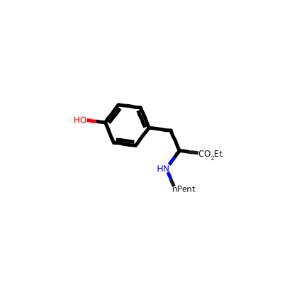 CCCCCNC(Cc1ccc(O)cc1)C(=O)OCC